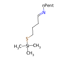 CCCCCN=CCCCS[Si](C)(C)C